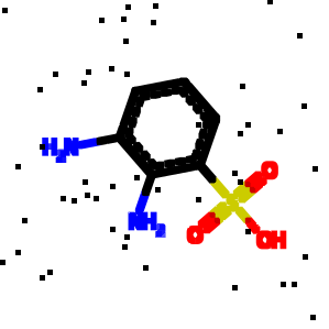 Nc1cccc(S(=O)(=O)O)c1N